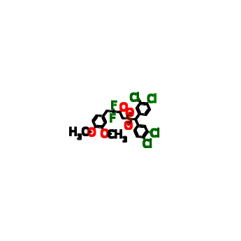 COc1ccc(CC(F)(F)C(=O)CS(=O)(=O)C(c2ccc(Cl)c(Cl)c2)c2ccc(Cl)c(Cl)c2)cc1OC